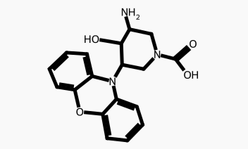 NC1CN(C(=O)O)CC(N2c3ccccc3Oc3ccccc32)C1O